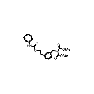 COC(=O)C(Cc1cccc(CCOC(=O)Nc2ccccc2)c1)C(=O)OC